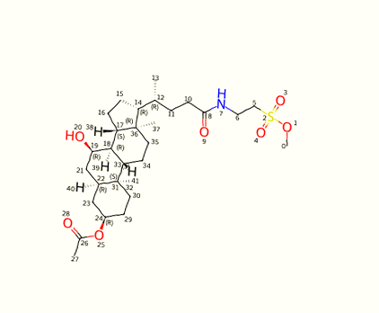 COS(=O)(=O)CCNC(=O)CC[C@@H](C)[C@H]1CC[C@H]2[C@@H]3[C@H](O)C[C@@H]4C[C@H](OC(C)=O)CC[C@]4(C)[C@H]3CC[C@]12C